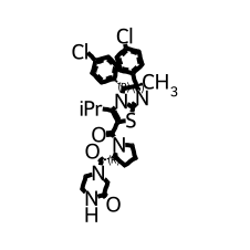 CC(C)C1=C(C(=O)N2CCC[C@@H]2C(=O)N2CCNC(=O)C2)SC2=N[C@@](C)(c3ccc(Cl)cc3)[C@@H](c3ccc(Cl)cc3)N21